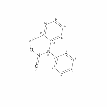 [O]C(=O)N(c1ccccc1)c1ccccc1F